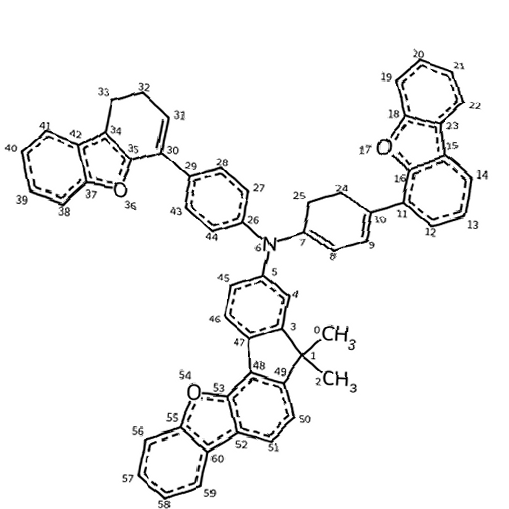 CC1(C)c2cc(N(C3=CC=C(c4cccc5c4oc4ccccc45)CC3)c3ccc(C4=CCCc5c4oc4ccccc54)cc3)ccc2-c2c1ccc1c2oc2ccccc21